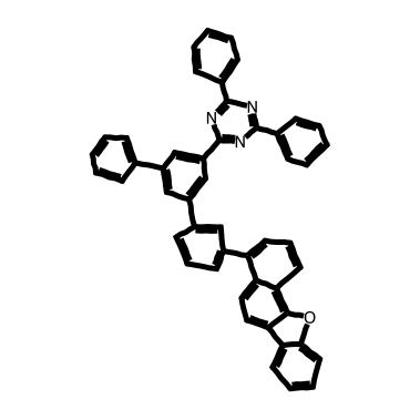 c1ccc(-c2cc(-c3cccc(-c4cccc5c4ccc4c6ccccc6oc54)c3)cc(-c3nc(-c4ccccc4)nc(-c4ccccc4)n3)c2)cc1